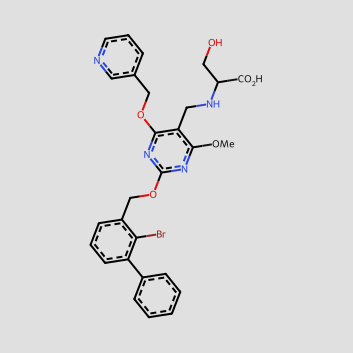 COc1nc(OCc2cccc(-c3ccccc3)c2Br)nc(OCc2cccnc2)c1CNC(CO)C(=O)O